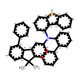 CC1(C)c2ccc(N(c3ccccc3-c3ccccc3)c3cccc4sc5ccccc5c34)cc2-c2c(-c3ccccc3)cccc21